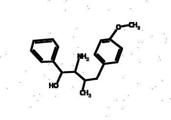 COc1ccc(CC(C)C(N)C(O)c2ccccc2)cc1